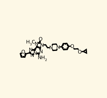 Cn1c(=O)n(CCN2CCN(c3ccc(OCCOC4CC4)cc3)CC2)c2nc(N)n3nc(-c4ccco4)nc3c21